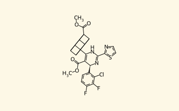 COC(=O)C1=C(C23C4C5C2C2C3C4C52C(=O)OC)NC(c2nccs2)=N[C@H]1c1ccc(F)c(F)c1Cl